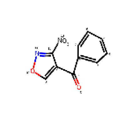 O=C(c1ccccc1)c1conc1[N+](=O)[O-]